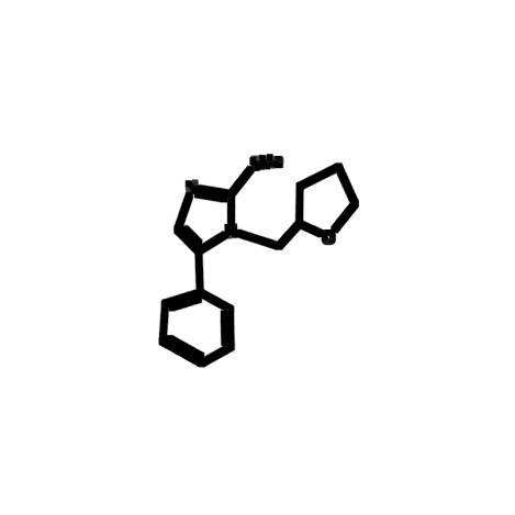 CSc1ncc(-c2ccccc2)n1CC1CCCO1